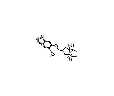 c1c(OCC2C[C@@H]3[C@H]4CC[C@H](C4)[C@@H]3C2)c(C2CC2)cn2cnnc12